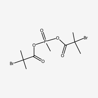 CC(C)(Br)C(=O)OP(C)(=O)OC(=O)C(C)(C)Br